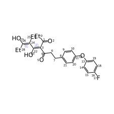 CCC(=O)/C(C(=O)CCc1ccc(Oc2ccc(F)cc2)cc1)=C(O)\C(CC)=C(\O)CC